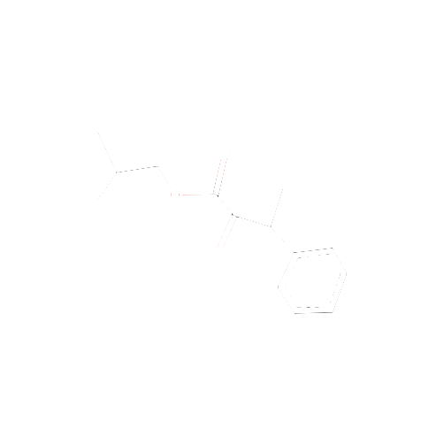 CC(C)COC(=O)C(=O)C(C)c1ccccc1